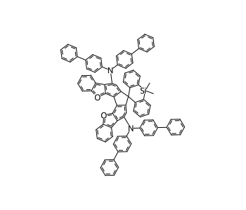 C[Si]1(C)c2ccccc2C2(c3ccccc31)c1cc(N(c3ccc(-c4ccccc4)cc3)c3ccc(-c4ccccc4)cc3)c3c(oc4ccccc43)c1-c1c2cc(N(c2ccc(-c3ccccc3)cc2)c2ccc(-c3ccccc3)cc2)c2c1oc1ccccc12